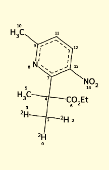 [2H]C([2H])([2H])C(C)(C(=O)OCC)c1nc(C)ccc1[N+](=O)[O-]